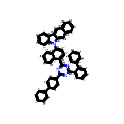 c1ccc(-c2ccc(-c3nc(-c4ccccc4-c4ccccc4)nc(-c4ccc(-n5c6ccccc6c6cc7ccccc7cc65)c5ccccc45)n3)cc2)cc1